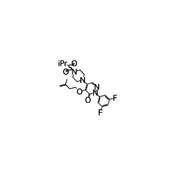 C=C(C)CCOc1c(N2CCN(S(=O)(=O)C(C)C)CC2)cnn(-c2cc(F)cc(F)c2)c1=O